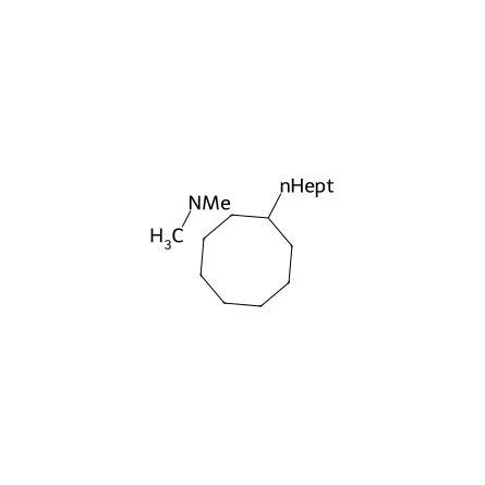 CCCCCCCC1CCCCCCC1.CNC